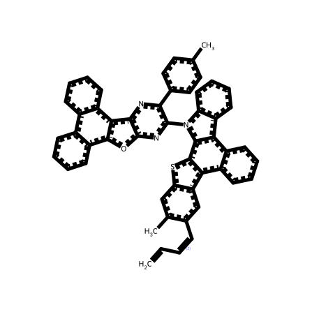 C=C/C=C\c1cc2c(cc1C)sc1c2c2ccccc2c2c3ccccc3n(-c3nc4oc5c6ccccc6c6ccccc6c5c4nc3-c3ccc(C)cc3)c12